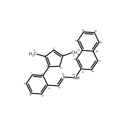 CC1=CC(C)=C(c2ccccc2C=NNc2ccc3ccccc3c2)C1